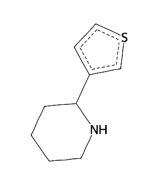 c1cc(C2CCCCN2)cs1